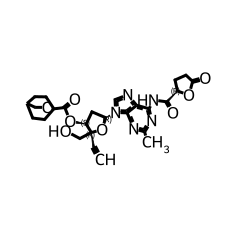 C#C[C@]1(CO)O[C@@H](n2cnc3c(NC(=O)[C@H]4CCC(=O)O4)nc(C)nc32)C[C@@H]1OC(=O)C12CCC(CC1)CC2